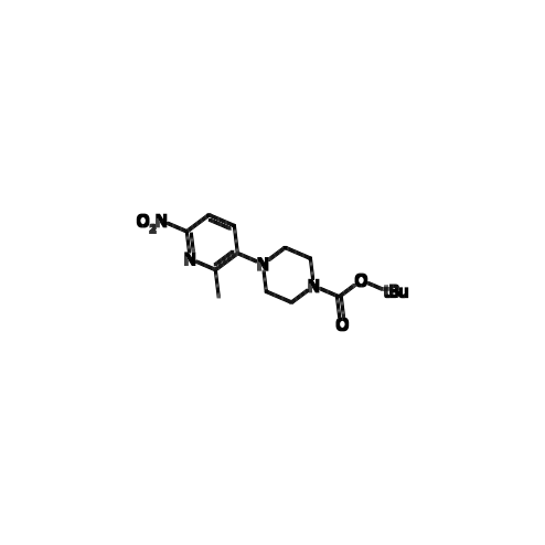 Cc1nc([N+](=O)[O-])ccc1N1CCN(C(=O)OC(C)(C)C)CC1